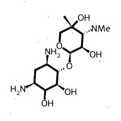 CN[C@@H]1[C@@H](O)[C@@H](O[C@H]2[C@H](N)C[C@H](N)C(O)[C@@H]2O)OC[C@]1(C)O